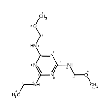 CCNc1nc(NCOC)nc(NCOC)n1